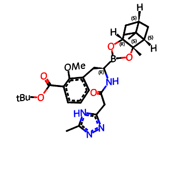 COc1c(C[C@H](NC(=O)Cc2nnc(C)[nH]2)B2O[C@@H]3C[C@@H]4C[C@@H](C4(C)C)[C@]3(C)O2)cccc1C(=O)OC(C)(C)C